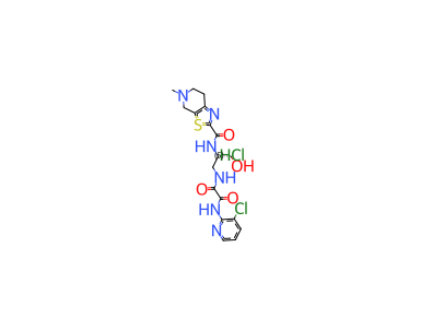 CN1CCc2nc(C(=O)N[C@H](CO)CNC(=O)C(=O)Nc3ncccc3Cl)sc2C1.Cl